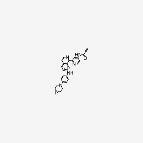 C#CC(=O)Nc1ccnc(-c2nccc3cnc(Nc4ccc(N5CCN(C)CC5)cc4)nc23)c1